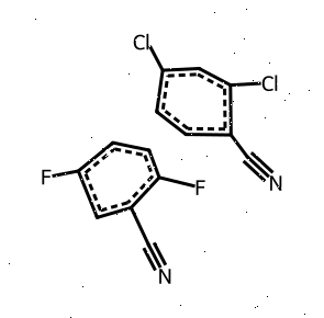 N#Cc1cc(F)ccc1F.N#Cc1ccc(Cl)cc1Cl